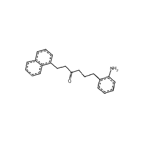 Nc1ccccc1CC[CH]C(=O)CCc1cccc2ccccc12